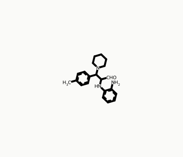 Cc1ccc(C(C(C=O)Nc2ccccc2N)N2CCCCC2)cc1